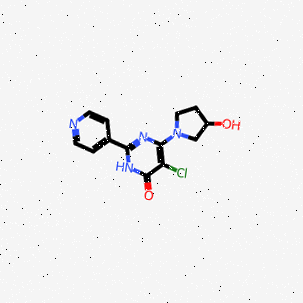 O=c1[nH]c(-c2ccncc2)nc(N2CCC(O)C2)c1Cl